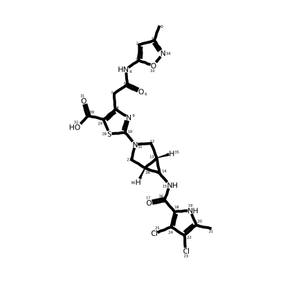 Cc1cc(NC(=O)Cc2nc(N3C[C@@H]4C(NC(=O)c5[nH]c(C)c(Cl)c5Cl)[C@@H]4C3)sc2C(=O)O)on1